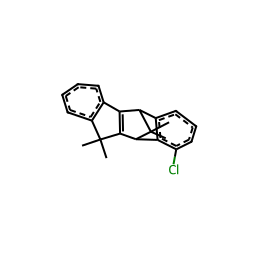 CC1(C)C2=C(c3ccccc31)C1c3cccc(Cl)c3C2C1(C)C